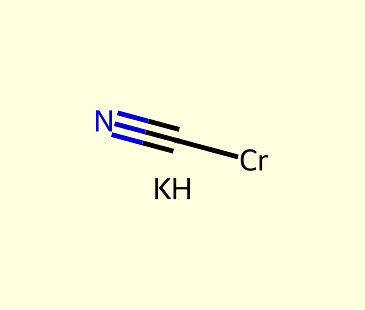 N#[C][Cr].[KH]